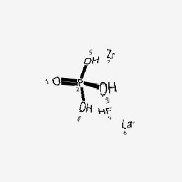 F.O=P(O)(O)O.[La].[Zr]